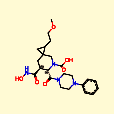 COCCC1CC12C[C@H](C(=O)NO)[C@@H](C(=O)N1CCN(c3ccccc3)CC1)N(C(=O)O)C2